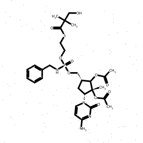 CC(=O)OC1[C@@H](COP(=O)(NCc2ccccc2)OCCSC(=O)C(C)(C)CO)C[C@@H](n2ccc(N)nc2=O)[C@@]1(C)OC(C)=O